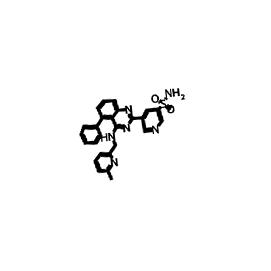 Cc1cccc(CNc2nc(-c3cncc(S(N)(=O)=O)c3)nc3cccc(-c4ccccc4)c23)n1